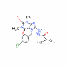 CC(C)C(=O)NNc1nc2c(c(=O)n(C)c(=O)n2C)n1Cc1ccc(Cl)cc1